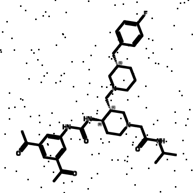 CC(=O)c1cc(NC(=O)N[C@@H]2CCN(CC(=O)NC(C)C)C[C@H]2CN2CCC[C@@H](Cc3ccc(F)cc3)C2)cc(C(C)=O)c1